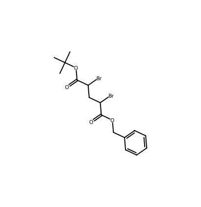 CC(C)(C)OC(=O)C(Br)CC(Br)C(=O)OCc1ccccc1